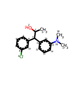 CC(O)C(c1cccc(Cl)c1)c1cccc(N(C)C)c1